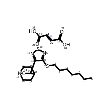 CCCCCCCSc1nsnc1C1CN2CCC1CC2.O=C(O)/C=C/C(=O)O